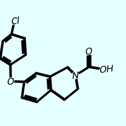 O=C(O)N1CCc2ccc(Oc3ccc(Cl)cc3)cc2C1